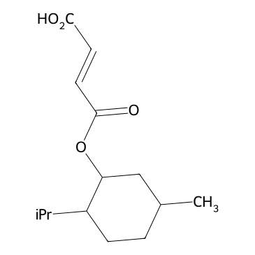 CC1CCC(C(C)C)C(OC(=O)C=CC(=O)O)C1